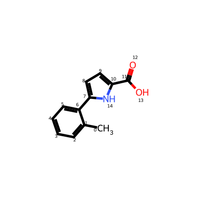 Cc1ccccc1-c1ccc(C(=O)O)[nH]1